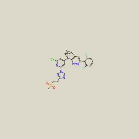 CC1(C)C2CCC1(c1cc(Cl)nc(-n3cnc(CCS(C)(=O)=O)n3)c1)c1nnc(-c3c(F)cccc3F)cc12